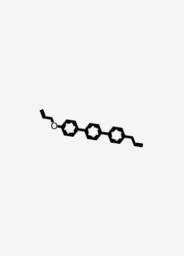 C=CCOc1ccc(-c2ccc(-c3ccc(CC=C)cc3)cc2)cc1